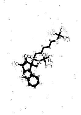 CC1=C(C)C2(CN(C(C)(C)C)[Si]2(C)CCCCCOC(C)(C)C)c2c1sc1ccccc21